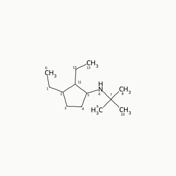 CCC1CCC(NC(C)(C)C)C1CC